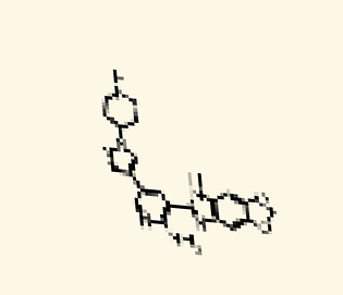 Nc1ncc(-c2cnn(C3CCNCC3)c2)cc1-c1nc2cc3c(cc2[nH]1)OCO3